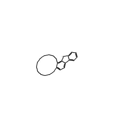 [CH]1c2ccccc2-c2ccc3c(c21)CCCCCCCCCCCC3